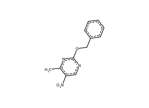 Cc1nc(OCc2ccccc2)ncc1[N+](=O)[O-]